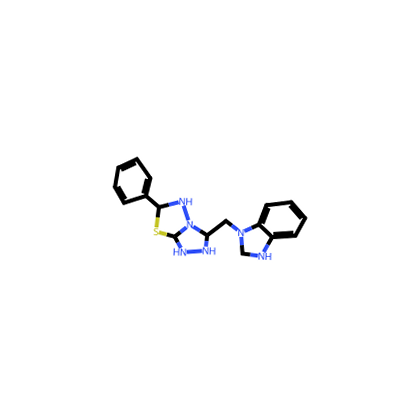 c1ccc(C2NN3C(CN4CNc5ccccc54)NNC3S2)cc1